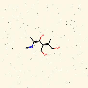 C=N/C(C)=C(O)\C(CO)=C(/C)CO